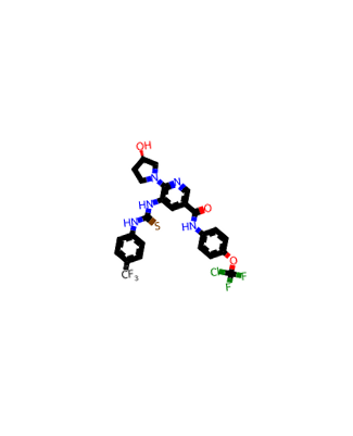 O=C(Nc1ccc(OC(F)(F)Cl)cc1)c1cnc(N2CC[C@@H](O)C2)c(NC(=S)Nc2ccc(C(F)(F)F)cc2)c1